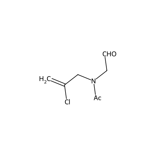 C=C(Cl)CN(CC=O)C(C)=O